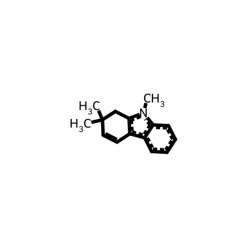 Cn1c2c(c3ccccc31)C=CC(C)(C)C2